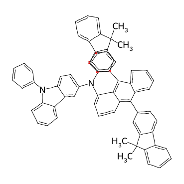 CC1(C)c2ccccc2-c2ccc(-c3c4ccccc4c(-c4ccc5c(c4)C(C)(C)c4ccccc4-5)c4c(N(c5ccccc5)c5ccc6c(c5)c5ccccc5n6-c5ccccc5)cccc34)cc21